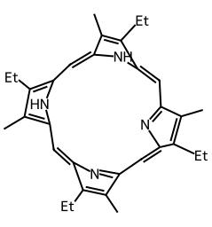 CCC1=C(C)c2cc3[nH]c(cc4[nH]c(cc5nc(cc1n2)C(C)=C5CC)c(C)c4CC)c(C)c3CC